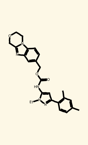 CCn1nc(-c2ccc(C)cc2C)cc1NC(=O)OCc1ccc2c(c1)nc1n2CCOC1